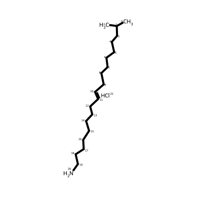 CC(C)CCCCCCCC=CCCCCCCCCN.Cl